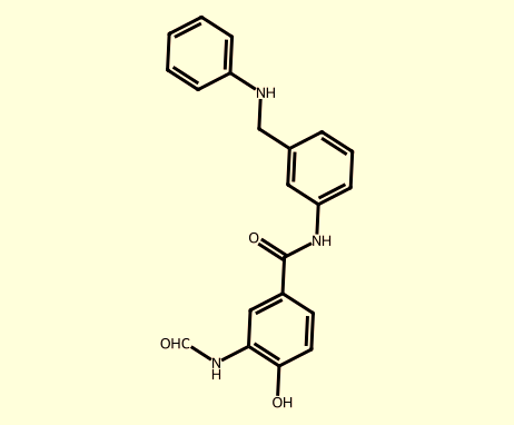 O=CNc1cc(C(=O)Nc2cccc(CNc3ccccc3)c2)ccc1O